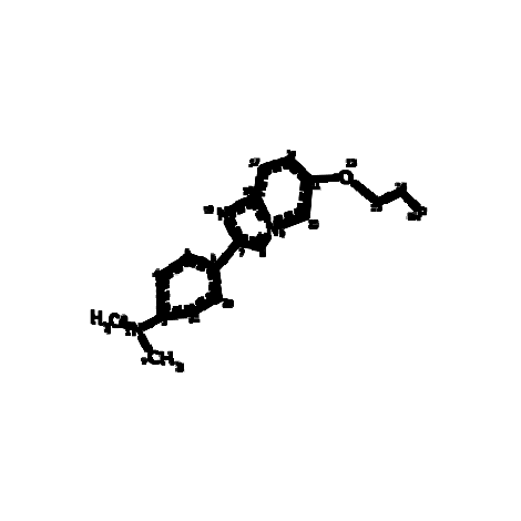 CN(C)c1ccc(-c2cn3cc(OCCF)ccc3n2)cc1